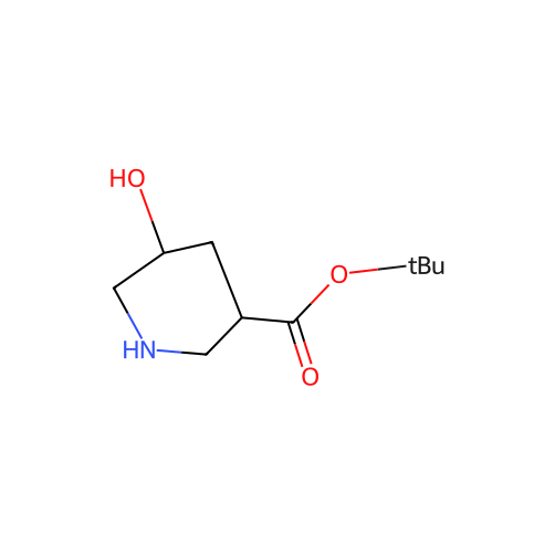 CC(C)(C)OC(=O)C1CNCC(O)C1